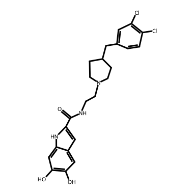 O=C(NCCN1CCC(Cc2ccc(Cl)c(Cl)c2)CC1)c1cc2cc(O)c(O)cc2[nH]1